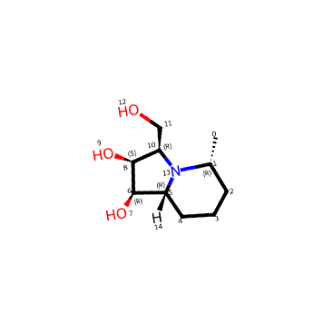 C[C@@H]1CCC[C@@H]2[C@@H](O)[C@@H](O)[C@@H](CO)N12